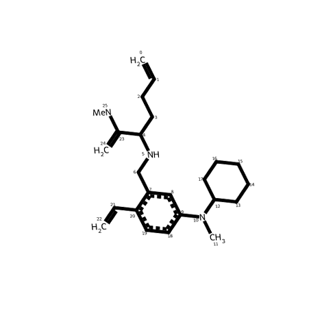 C=CCCC(NCc1cc(N(C)C2CCCCC2)ccc1C=C)C(=C)NC